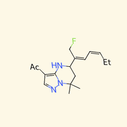 CC/C=C\C=C(/CF)C1CC(C)(C)n2ncc(C(C)=O)c2N1